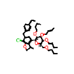 CCCCOC[C@H]1O[C@@H](c2cc(Cc3ccc(CC)cc3)c(Cl)c3c2C(C)CO3)[C@H](OCCCC)[C@@H](OCCCC)[C@@H]1OCCCC